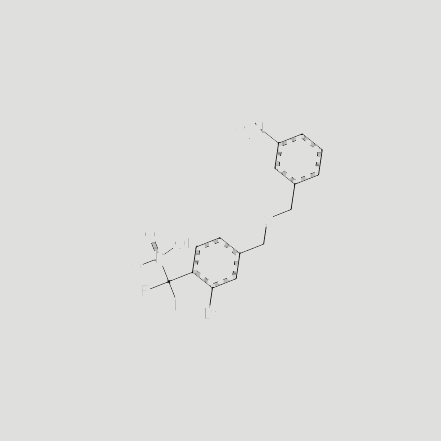 O=[N+]([O-])c1cccc(CSCc2ccc(C(F)(F)P(=O)(O)O)c(Br)c2)c1